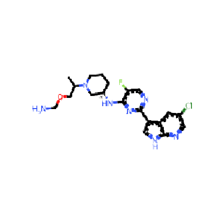 CC(COCN)N1CCC[C@H](Nc2nc(-c3c[nH]c4ncc(Cl)cc34)ncc2F)C1